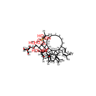 CCCC=CC1CCCCCCC[C@@](OP(=O)(O)O)([C@](O)(CC=C(C)C)[C@@](O)(CC=C(C)C)[C@@](O)(CC=C(C)C)C(O)(CC=C(C)C)CC=C(C)C)C(=O)C(CC=C(C)C)(CC=C(C)C)C(CC=C(C)C)(CC=C(C)C)C1(CC=C(C)C)CC=C(C)C